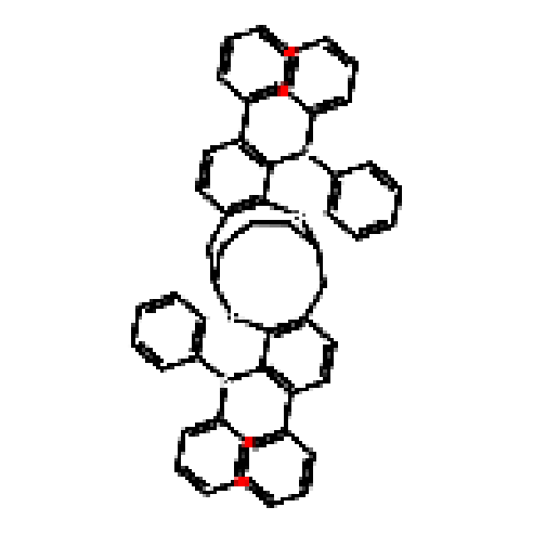 c1ccc(-c2ccc3c(c2P(c2ccccc2)c2ccccc2)OC2CCCC(C3)Oc3c(ccc(-c4ccccc4)c3P(c3ccccc3)c3ccccc3)C2)cc1